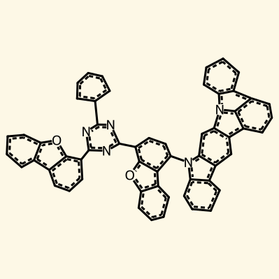 c1ccc(-c2nc(-c3cccc4c3oc3ccccc34)nc(-c3ccc(-n4c5ccccc5c5cc6c7cccc8c9ccccc9n(c6cc54)c87)c4c3oc3ccccc34)n2)cc1